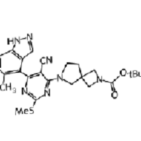 CSc1nc(-c2c(C)ccc3[nH]ncc23)c(C#N)c(N2CCC3(CN(C(=O)OC(C)(C)C)C3)C2)n1